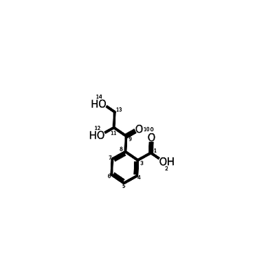 O=C(O)c1ccccc1C(=O)C(O)CO